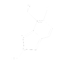 Cc1ccc2cn(C)nc2c1CN